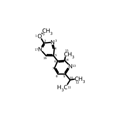 COc1ncc(-c2ccc(C(C)C)nc2C)cn1